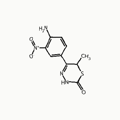 CC1SC(=O)NN=C1c1ccc(N)c([N+](=O)[O-])c1